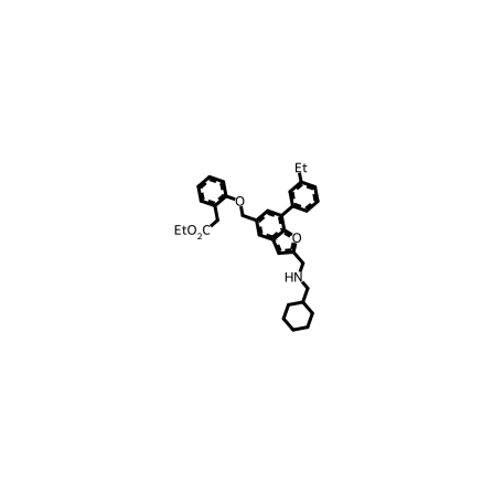 CCOC(=O)Cc1ccccc1OCc1cc(-c2cccc(CC)c2)c2oc(CNCC3CCCCC3)cc2c1